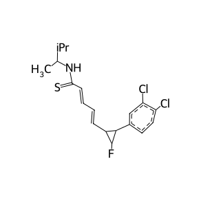 CC(C)C(C)NC(=S)C=CC=CC1C(F)C1c1ccc(Cl)c(Cl)c1